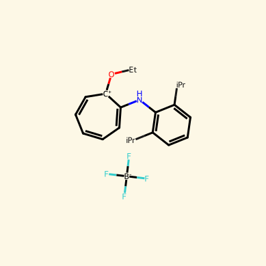 CCO[c+]1cccccc1Nc1c(C(C)C)cccc1C(C)C.F[B-](F)(F)F